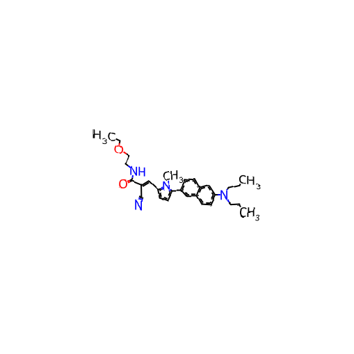 CCCN(CCC)c1ccc2cc(-c3ccc(/C=C(\C#N)C(=O)NCCOCC)n3C)ccc2c1